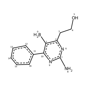 Bc1c(CCO)nc(N)nc1-c1ccccc1